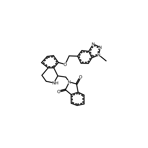 Cn1nnc2cc(COc3cccc4c3C(CN3C(=O)c5ccccc5C3=O)NCC4)ccc21